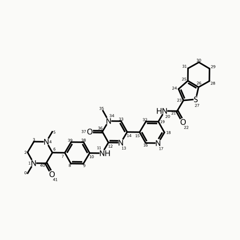 CN1CCN(C)C(c2ccc(Nc3nc(-c4cncc(NC(=O)c5cc6c(s5)CCCC6)c4)cn(C)c3=O)cc2)C1=O